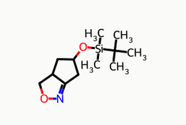 CC(C)(C)[Si](C)(C)OC1CC2=NOCC2C1